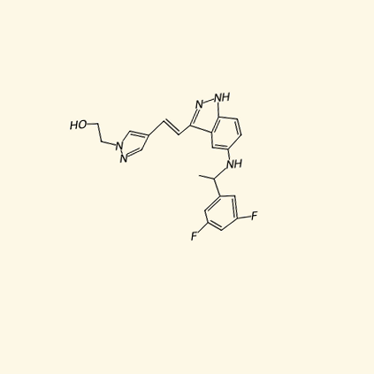 CC(Nc1ccc2[nH]nc(C=Cc3cnn(CCO)c3)c2c1)c1cc(F)cc(F)c1